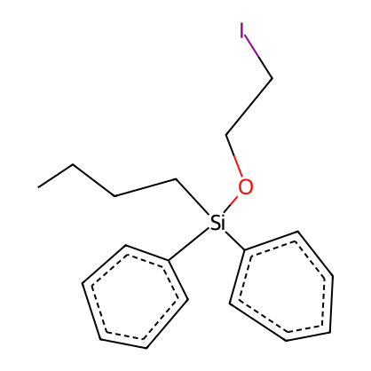 CCCC[Si](OCCI)(c1ccccc1)c1ccccc1